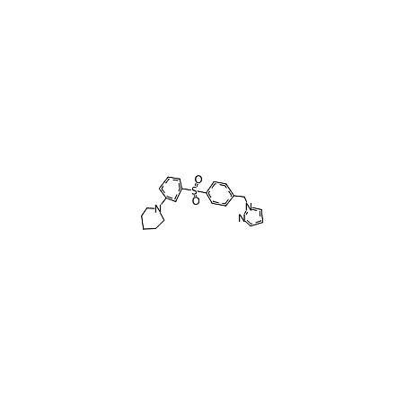 O=S(=O)(c1ccc(Cn2cccn2)cc1)c1cccc(N2CCCCC2)c1